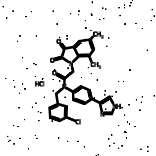 Cc1cc(C)c2c(c1)C(=O)C(=O)N2CC(=O)N(Cc1cccc(Cl)c1)c1ccc(-c2c[nH]cn2)cc1.Cl